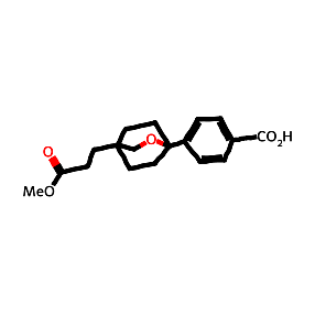 COC(=O)CCC12CCC(c3ccc(C(=O)O)cc3)(CC1)OC2